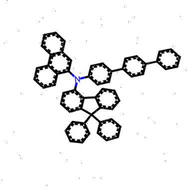 c1ccc(-c2ccc(-c3ccc(N(c4cccc5c4-c4ccccc4C5(c4ccccc4)c4ccccc4)c4cc5ccccc5c5ccccc45)cc3)cc2)cc1